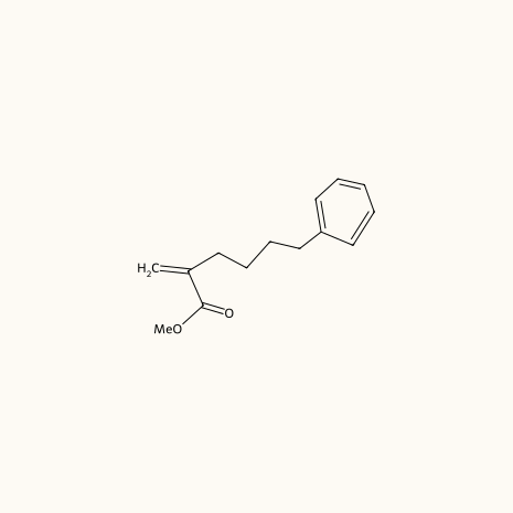 C=C(CCCCc1ccccc1)C(=O)OC